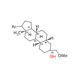 COC[C@@]1(O)CC[C@H]2[C@H](CC[C@@H]3[C@@H]2CC[C@]2(C)C(C(C)=O)CC[C@@H]32)C1